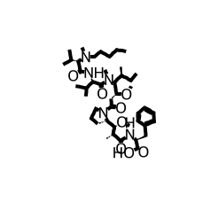 CCCCCN(C)[C@H](C(=O)N[C@H](C(=O)N(C)[C@@H]([C@@H](C)CC)[C@@H](CC(=O)N1CCC[C@H]1[C@H](OC)[C@@H](C)C(=O)N[C@@H](Cc1ccccc1)C(=O)O)OC)C(C)C)C(C)C